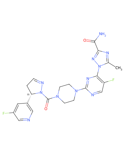 Cc1nc(C(N)=O)nn1-c1nc(N2CCN(C(=O)N3N=CC[C@H]3c3cncc(F)c3)CC2)ncc1F